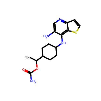 CC(C)(C)C(OC(N)=O)C1CCC(Nc2c(N)cnc3ccsc23)CC1